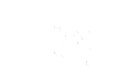 Cc1nc2cc(-c3ccn(C(F)F)n3)c(O[C@H]3CCN4C(=O)OC[C@@H]4C3)cc2c(=O)n1Cc1ccc(C#N)cc1